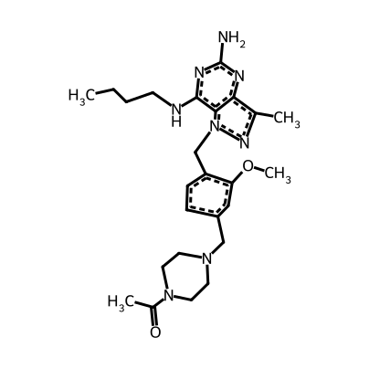 CCCCNc1nc(N)nc2c(C)nn(Cc3ccc(CN4CCN(C(C)=O)CC4)cc3OC)c12